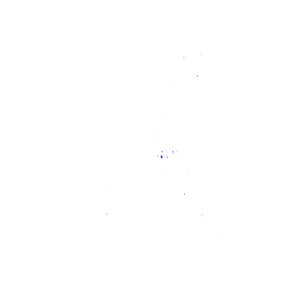 CCCCCCCCCC[N+](O)(CCCCCCCC)CCCCCCCC